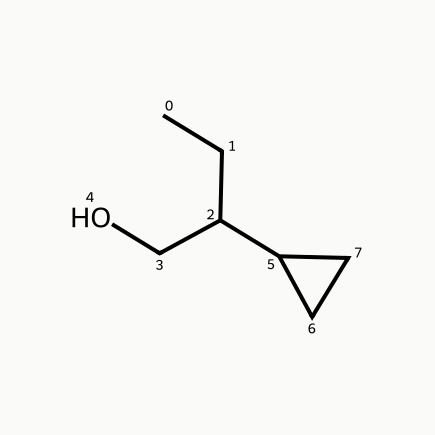 CCC(CO)C1CC1